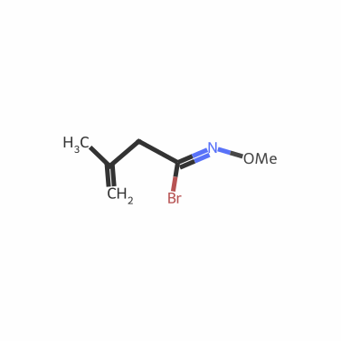 C=C(C)C/C(Br)=N/OC